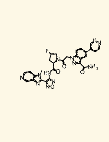 Cn1c(-c2nonc2NC(=O)C2CC(F)CN2C(=O)Cn2nc(C(N)=O)c3cc(-c4ccnnc4)ccc32)nc2cnccc21